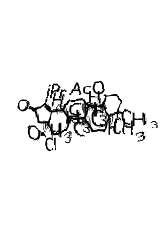 CC(=O)OC1CCC(C)(C)[C@@H]2CC[C@]3(C)[C@H](CC[C@@H]4C5=C(C(C)C)C(=O)C[C@]5(C(=O)Cl)CC[C@]43C)[C@@]12C